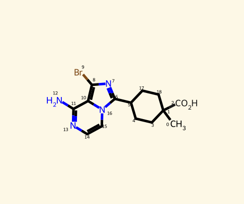 CC1(C(=O)O)CCC(c2nc(Br)c3c(N)nccn23)CC1